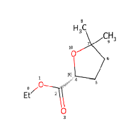 CCOC(=O)[C@H]1CCC(C)(C)O1